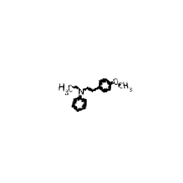 CCN(CCc1ccc(OC)cc1)c1ccccc1